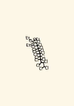 CCO[Si](OCC)(OCC)C(Cl)C(Cl)(Cl)C(Cl)(Cl)C(Cl)(Cl)C(Cl)(Cl)C(Cl)(Cl)C(Cl)(Cl)C(Cl)C(Cl)C(Cl)Cl